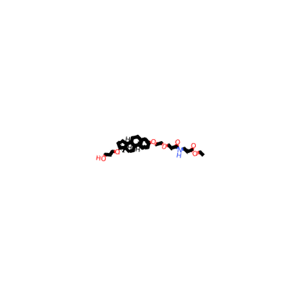 CCOC(=O)CCNC(=O)CCOCCOc1ccc2c(c1)CC[C@@H]1[C@@H]2CC[C@]2(C)[C@@H](OCCCO)CC[C@@H]12